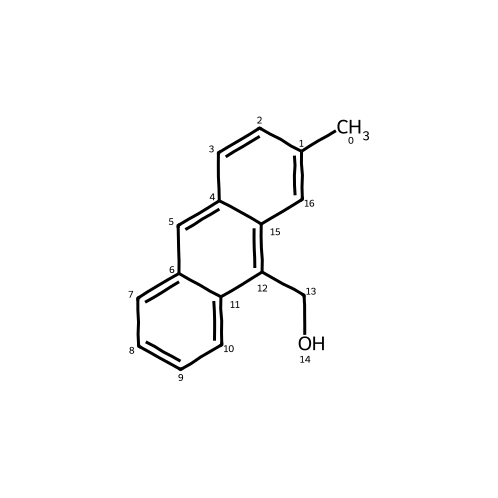 Cc1ccc2cc3ccccc3c(CO)c2c1